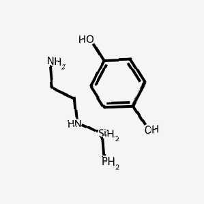 NCCN[SiH2]P.Oc1ccc(O)cc1